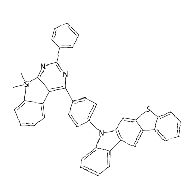 C[Si]1(C)c2ccccc2-c2c(-c3ccc(-n4c5ccccc5c5cc6c(cc54)sc4ccccc46)cc3)nc(-c3ccccc3)nc21